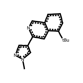 Cn1cc(-c2cc3c(C(C)(C)C)cccc3cn2)cn1